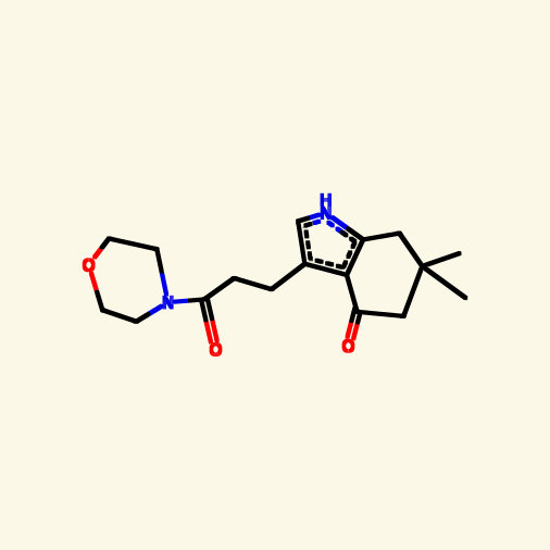 CC1(C)CC(=O)c2c(CCC(=O)N3CCOCC3)c[nH]c2C1